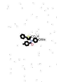 CO[C@H]1CC[C@@H](N(C(=O)C2CCC(C)CC2)c2cc(C3=CCCCC3)sc2C(=O)O)CC1